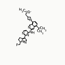 CC(C)c1ccc(N2CC(C[S+](C)[O-])C2)c2cnc(Nc3ccnc(-c4cnn5c4CCC5CF)n3)cc12